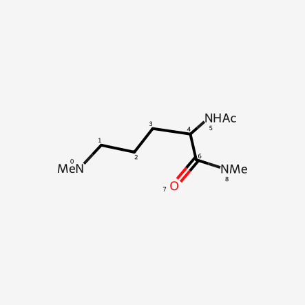 CNCCCC(NC(C)=O)C(=O)NC